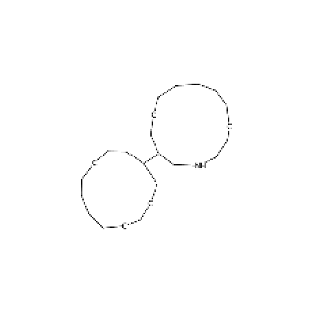 C1CCCCCC(C2CCCCCCCCCCNC2)CCCCC1